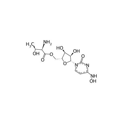 C[C@H](O)[C@@H](N)C(=O)OC[C@H]1O[C@@H](n2ccc(NO)nc2=O)[C@H](O)[C@@H]1O